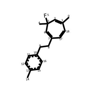 CC1=CC(C)(F)C=C(CCc2ccc(C)cc2)C=C1